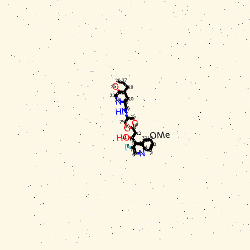 COc1ccc2ncc(F)c(C(O)CC3OCC(NCc4cc5c(cn4)OCCC5)CO3)c2c1